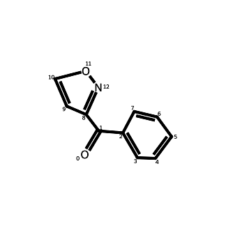 O=C(c1ccccc1)c1ccon1